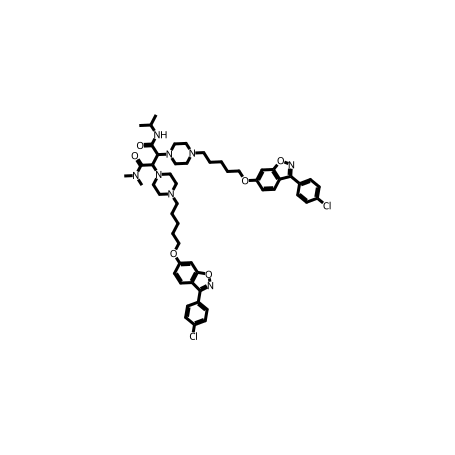 CC(C)NC(=O)C(C(C(=O)N(C)C)N1CCN(CCCCCOc2ccc3c(-c4ccc(Cl)cc4)noc3c2)CC1)N1CCN(CCCCCOc2ccc3c(-c4ccc(Cl)cc4)noc3c2)CC1